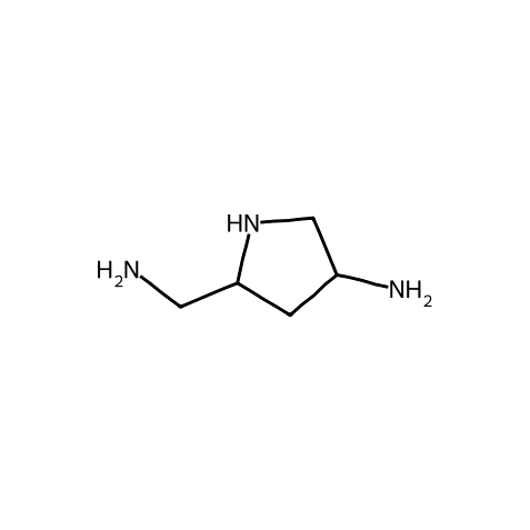 NCC1CC(N)CN1